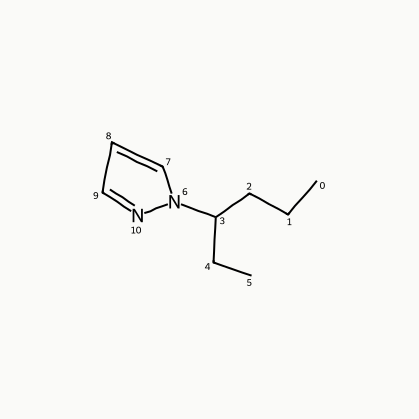 CCCC(CC)n1cccn1